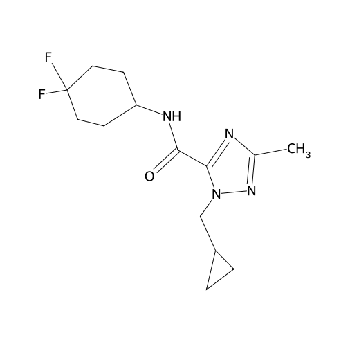 Cc1nc(C(=O)NC2CCC(F)(F)CC2)n(CC2CC2)n1